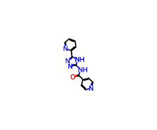 O=C(Nc1nnc(-c2ccccn2)[nH]1)c1ccncc1